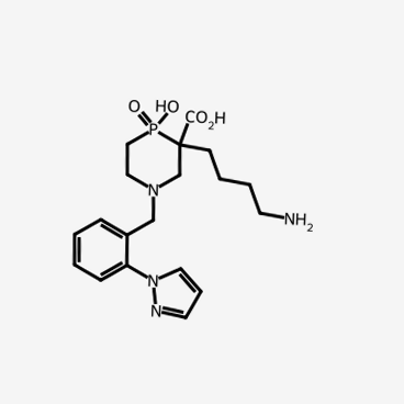 NCCCCC1(C(=O)O)CN(Cc2ccccc2-n2cccn2)CCP1(=O)O